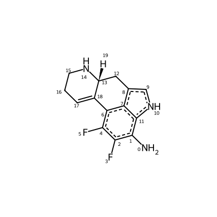 Nc1c(F)c(F)c2c3c(c[nH]c13)C[C@H]1NCCC=C21